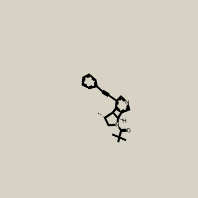 C[C@H]1CN(C(=O)C(C)(C)C)[C@@H]2c3cncc(C#Cc4ccccc4)c3C21